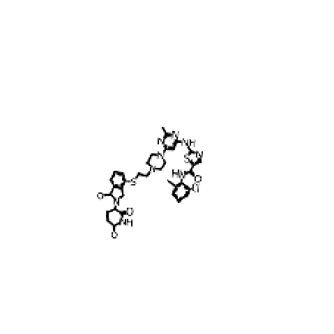 Cc1nc(Nc2ncc(C(=O)Nc3c(C)cccc3Cl)s2)cc(N2CCN(CCSc3cccc4c3CN(C3CCC(=O)NC3=O)C4=O)CC2)n1